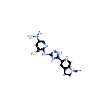 CC(=O)N(C)c1cnc(Nc2n[nH]c(-c3cc4c(cn3)N(C(C)C)CC4)n2)c(C(F)(F)F)c1